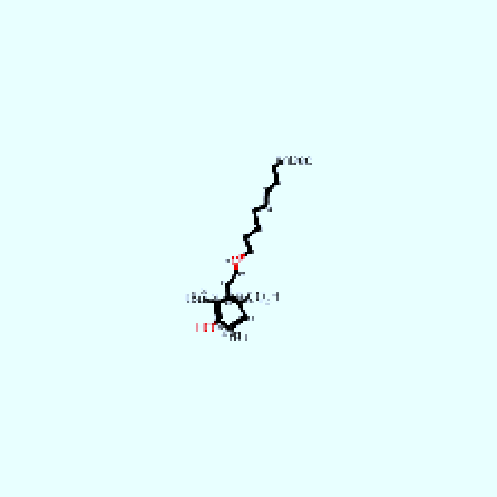 CCCCCCCCCCCCCCCCCCOCCc1c(C(=O)O)cc(C(C)(C)C)c(O)c1C(C)(C)C